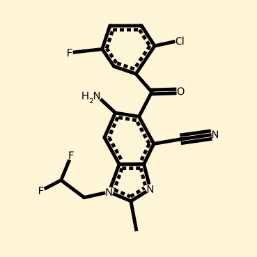 Cc1nc2c(C#N)c(C(=O)c3cc(F)ccc3Cl)c(N)cc2n1CC(F)F